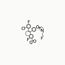 COC(=O)c1ccc2c(c1F)CCCC(c1ccc(F)cc1Cl)=C2c1ccc(O[C@H]2CCN(CCCF)C2)cc1